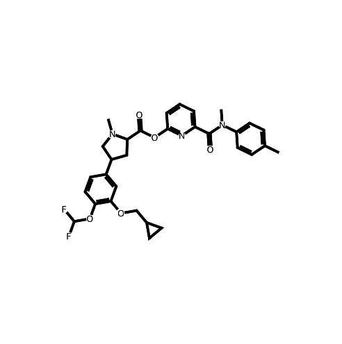 Cc1ccc(N(C)C(=O)c2cccc(OC(=O)C3CC(c4ccc(OC(F)F)c(OCC5CC5)c4)CN3C)n2)cc1